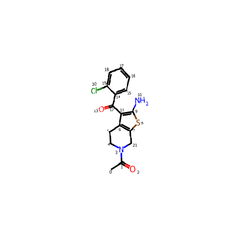 CC(=O)N1CCc2c(sc(N)c2C(=O)c2ccccc2Cl)C1